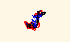 CC(C)(C)OC(=O)n1c(NC2CCN(c3ccc(C(=O)NC[C@H](NS(=O)(=O)c4ccc([N+](=O)[O-])cc4)C(=O)O)cc3)CC2)nc2ccccc21